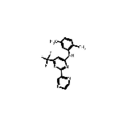 Cc1ccc(C)c(Nc2cc(C(F)(F)F)nc(-c3cnccn3)n2)c1